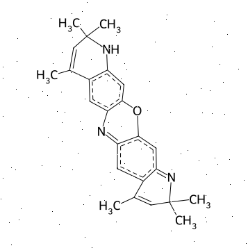 CC1=CC(C)(C)Nc2cc3c(cc21)N=c1cc2c(cc1O3)=NC(C)(C)C=C2C